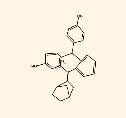 CC(=O)N(c1ccccc1C(c1ccc(O)cc1)c1ccc(O)cc1)C1CC2CCC1C2